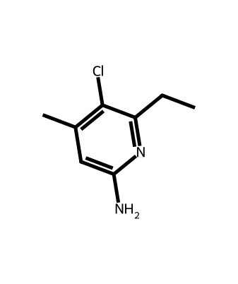 CCc1nc(N)cc(C)c1Cl